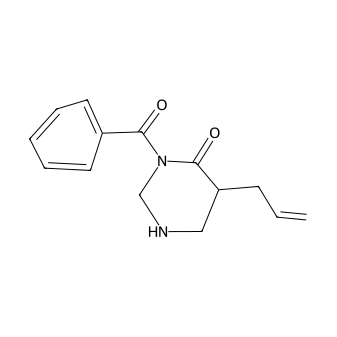 C=CCC1CNCN(C(=O)c2ccccc2)C1=O